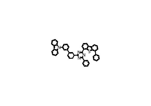 C1=CC(c2cccc(-n3c4ccccc4c4ccccc43)c2)=CC(c2nc(-c3ccccc3)nc(-c3cccc4c3sc3c(-c5ccccc5)cccc34)n2)C1